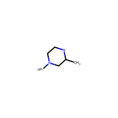 CCCN1CC[N]C(C)C1